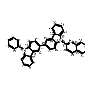 c1ccc(-n2c3ccccc3c3cc(-c4ccc5c(c4)c4ccccc4n5-c4ccc5ccccc5n4)ccc32)cc1